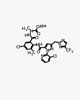 COC(=O)N(C)NC(=O)c1cc(Cl)cc(C)c1NC(=O)c1cc(Cn2ncc(C(F)(F)F)n2)nn1-c1ncccc1Cl